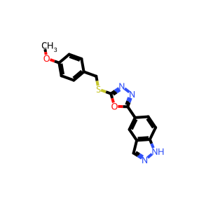 COc1ccc(CSc2nnc(-c3ccc4[nH]ncc4c3)o2)cc1